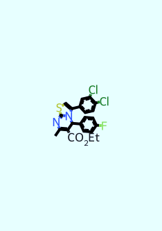 CCOC(=O)C1=C(C)N=C2SC=C(c3ccc(Cl)c(Cl)c3)N2C1c1ccc(F)cc1